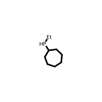 CCPC1CCCCCC1